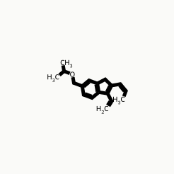 C=CC1=C(/C=C\C)Cc2cc(COC(C)C)ccc21